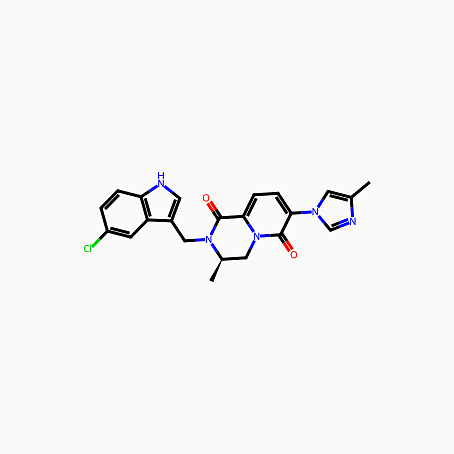 Cc1cn(-c2ccc3n(c2=O)C[C@@H](C)N(Cc2c[nH]c4ccc(Cl)cc24)C3=O)cn1